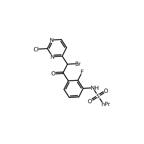 CCCS(=O)(=O)Nc1cccc(C(=O)C(Br)c2ccnc(Cl)n2)c1F